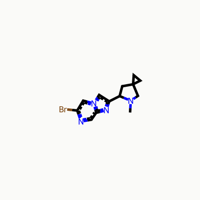 CN1CC2(CC2)CC1c1cn2cc(Br)ncc2n1